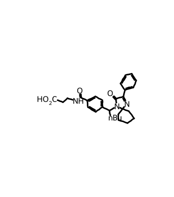 CCCCC(c1ccc(C(=O)NCCC(=O)O)cc1)N1C(=O)C(c2ccccc2)=NC12CCCCC2